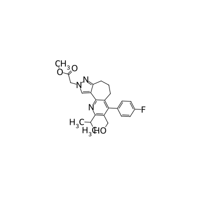 COC(=O)Cn1cc2c(n1)CCCc1c-2nc(C(C)C)c(CO)c1-c1ccc(F)cc1